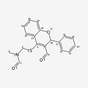 CN(C=O)CSC1=C(C=O)C(c2ccccc2)Oc2ccccc21